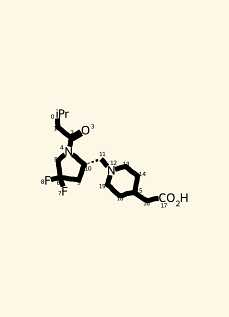 CC(C)CC(=O)N1CC(F)(F)C[C@H]1CN1CCC(CC(=O)O)CC1